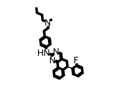 CCCCN(C)CCc1ccc(Nc2ncc3c(n2)-c2ccccc2[C@H](c2ccccc2F)C3)cc1